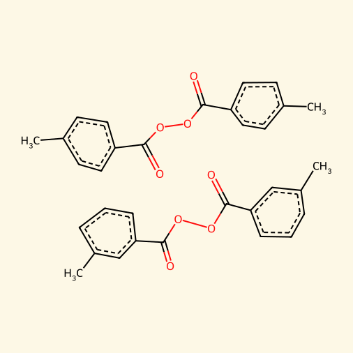 Cc1ccc(C(=O)OOC(=O)c2ccc(C)cc2)cc1.Cc1cccc(C(=O)OOC(=O)c2cccc(C)c2)c1